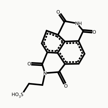 O=C1NC(=O)c2ccc3c4c(ccc1c24)C(=O)N(CCS(=O)(=O)O)C3=O